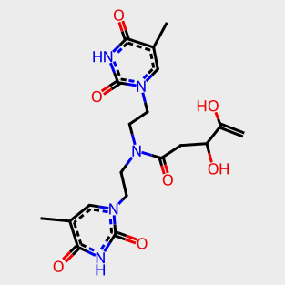 C=C(O)C(O)CC(=O)N(CCn1cc(C)c(=O)[nH]c1=O)CCn1cc(C)c(=O)[nH]c1=O